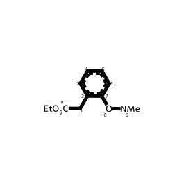 CCOC(=O)Cc1ccccc1ONC